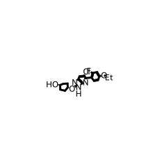 CCOc1ccc(-c2nc3[nH]c(O[C@H]4CC[C@H](O)CC4)nc3cc2Cl)c(F)c1